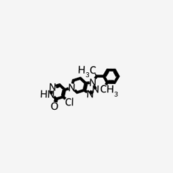 Cc1ccccc1[C@@H](C)n1nnc2c1CCN(c1cn[nH]c(=O)c1Cl)C2